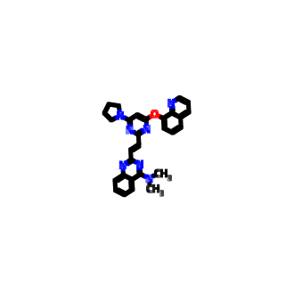 CN(C)c1nc(C=Cc2nc(Oc3cccc4cccnc34)cc(N3CCCC3)n2)nc2ccccc12